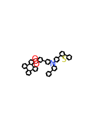 c1ccc(-c2cccc(N(c3ccc(-c4ccc5oc6ccc7c8ccccc8c8ccccc8c8ccccc8c7c6oc5c4)cc3)c3ccc(-c4cccc5c4sc4ccccc45)cc3)c2)cc1